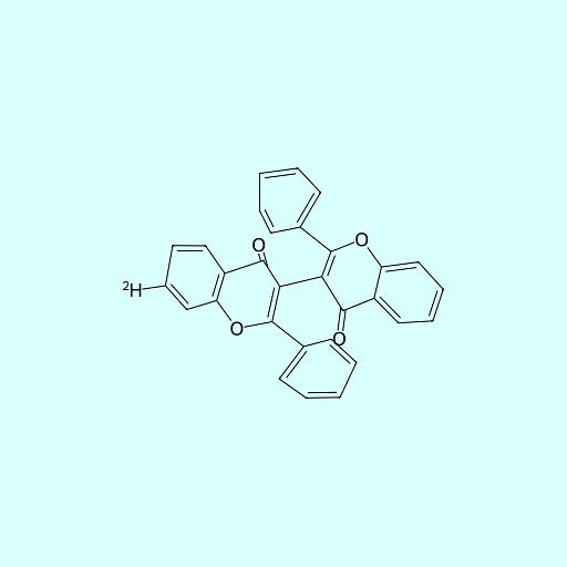 [2H]c1ccc2c(=O)c(-c3c(-c4ccccc4)oc4ccccc4c3=O)c(-c3ccccc3)oc2c1